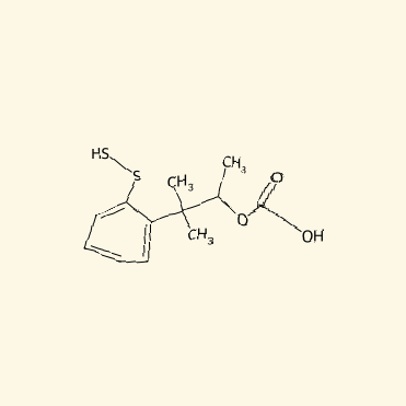 CC(OC(=O)O)C(C)(C)c1ccccc1SS